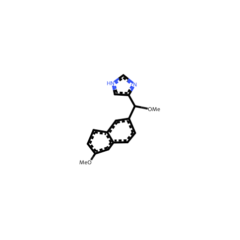 COc1ccc2cc(C(OC)c3c[nH]cn3)ccc2c1